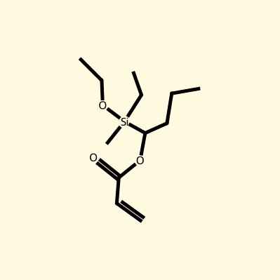 C=CC(=O)OC(CCC)[Si](C)(CC)OCC